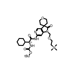 CC(C)(C)OC(=O)N[C@H](C(=O)Nc1cc2c(cn1)C1(CCOCC1)C(=O)N2COCC[Si](C)(C)C)C1CCCCC1